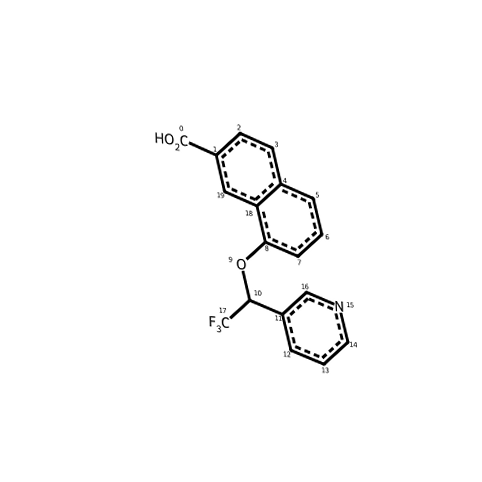 O=C(O)c1ccc2cccc(OC(c3cccnc3)C(F)(F)F)c2c1